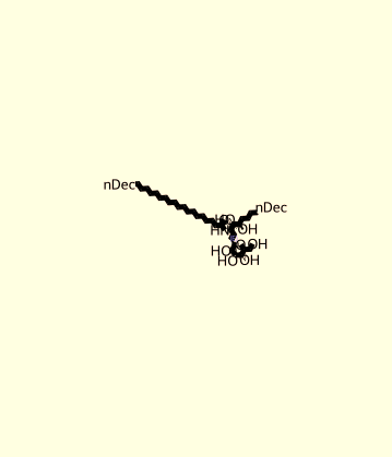 CCCCCCCCCCCCCCCCCCCCCCCCCCCCC(=O)N[C@@H](/C=C/[C@H]1OC(CO)[C@H](O)C(O)[C@@H]1O)[C@H](O)[C@H](O)CCCCCCCCCCCCCC